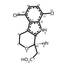 CCC[C@]1(CC(=O)O)OCCc2c1[nH]c1c(Cl)ccc(Cl)c21